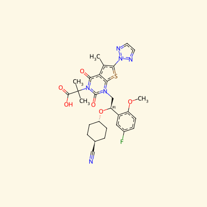 COc1ccc(F)cc1[C@H](Cn1c(=O)n(C(C)(C)C(=O)O)c(=O)c2c(C)c(-n3nccn3)sc21)O[C@H]1CC[C@H](C#N)CC1